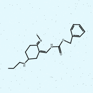 CCCNC1CCC(=NI)/C(=C\NC(=O)OCc2ccccc2)C1